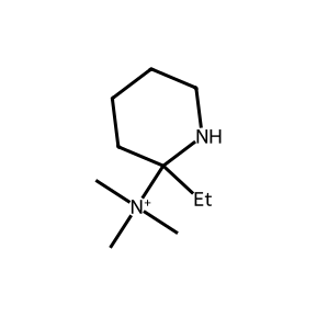 CCC1([N+](C)(C)C)CCCCN1